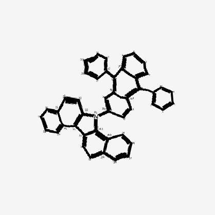 c1ccc(-c2c3ccccc3c(-c3ccccc3)c3cc(-n4c5ccc6ccccc6c5c5ccc6ccccc6c54)ccc23)cc1